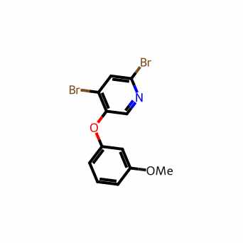 COc1cccc(Oc2cnc(Br)cc2Br)c1